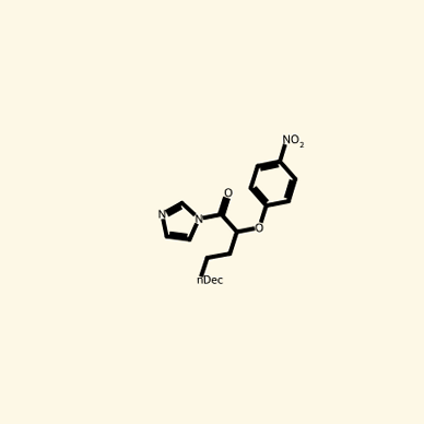 CCCCCCCCCCCCC(Oc1ccc([N+](=O)[O-])cc1)C(=O)n1ccnc1